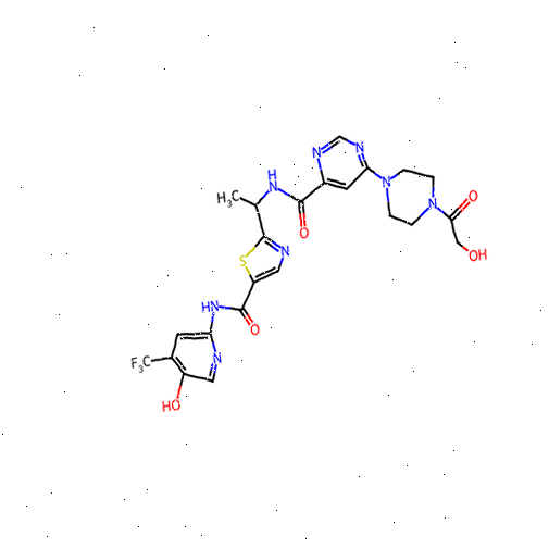 CC(NC(=O)c1cc(N2CCN(C(=O)CO)CC2)ncn1)c1ncc(C(=O)Nc2cc(C(F)(F)F)c(O)cn2)s1